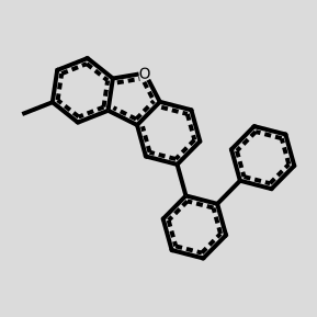 Cc1ccc2oc3ccc(-c4ccccc4-c4ccccc4)cc3c2c1